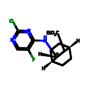 CCOC(=O)C1[C@H]2CC[C@H](CC2)[C@@H]1Nc1nc(Cl)ncc1F